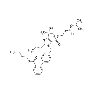 CCCCOC(=O)c1ccccc1-c1ccc(Cn2c(CCC)nc(C(C)(C)O)c2C(=O)OCOC(=O)OC(C)C)cc1